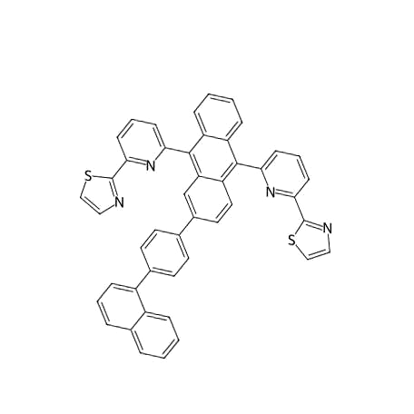 c1cc(-c2nccs2)nc(-c2c3ccccc3c(-c3cccc(-c4nccs4)n3)c3cc(-c4ccc(-c5cccc6ccccc56)cc4)ccc23)c1